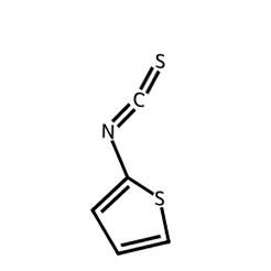 S=C=Nc1cccs1